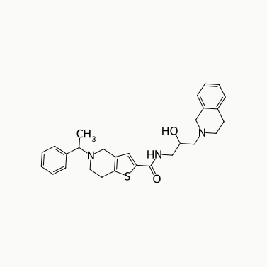 CC(c1ccccc1)N1CCc2sc(C(=O)NCC(O)CN3CCc4ccccc4C3)cc2C1